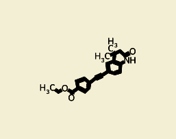 CCOC(=O)c1ccc(C#Cc2ccc3c(c2)C(C)(C)CC(=O)N3)cc1